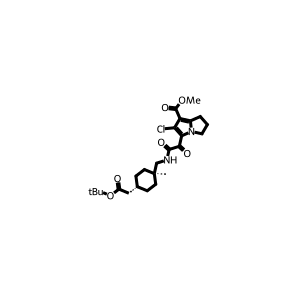 COC(=O)c1c(Cl)c(C(=O)C(=O)NC[C@]2(C)CC[C@@H](CC(=O)OC(C)(C)C)CC2)n2c1CCC2